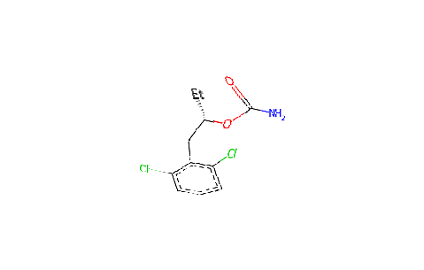 CC[C@@H](Cc1c(Cl)cccc1Cl)OC(N)=O